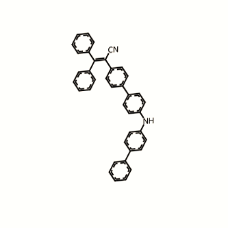 N#CC(=C(c1ccccc1)c1ccccc1)c1ccc(-c2ccc(Nc3ccc(-c4ccccc4)cc3)cc2)cc1